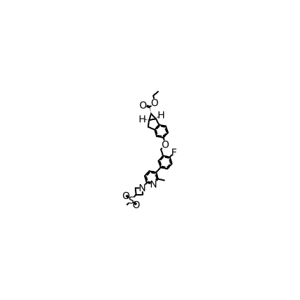 CCOC(=O)[C@H]1[C@@H]2Cc3cc(OCc4cc(-c5ccc(N6CC(S(C)(=O)=O)C6)nc5C)ccc4F)ccc3[C@@H]21